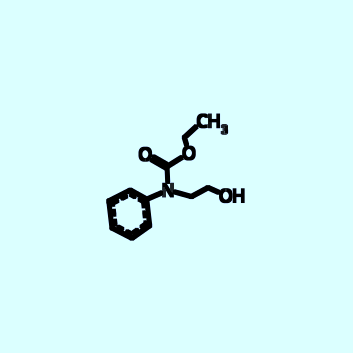 CCOC(=O)N(CCO)c1ccccc1